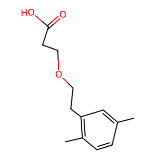 Cc1ccc(C)c(CCOCCC(=O)O)c1